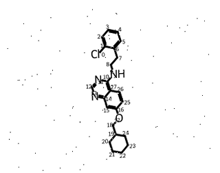 Clc1ccccc1CCNc1ncnc2cc(OCC3CCCCC3)ccc12